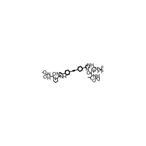 COC(=O)NCC(=O)N1CCCC1c1ncc(-c2ccc(C#Cc3ccc(-c4c[nH]c([C@@H]5CN(CC(F)(F)F)CN5C(=O)[C@@H](NC(=O)OC)C(C)C)n4)cc3)cc2)[nH]1